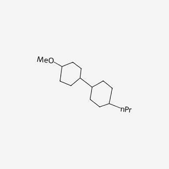 CCCC1CCC(C2CCC(OC)CC2)CC1